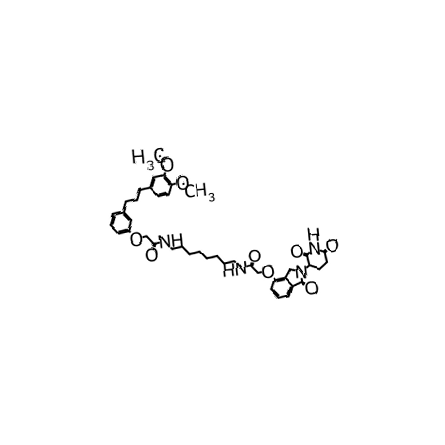 COc1ccc(CCCc2cccc(OCC(=O)NCCCCCCCCNC(=O)COc3cccc4c3CN(C3CCC(=O)NC3=O)C4=O)c2)cc1OC